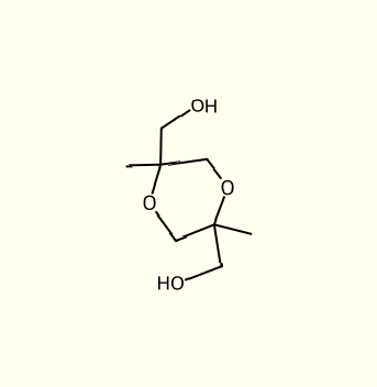 CC1(CO)COC(C)(CO)CO1